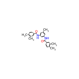 Cc1cc(NC(=O)c2ccc(C)c(C)c2)cc(NC(=O)c2ccc(C)c(C)c2)c1